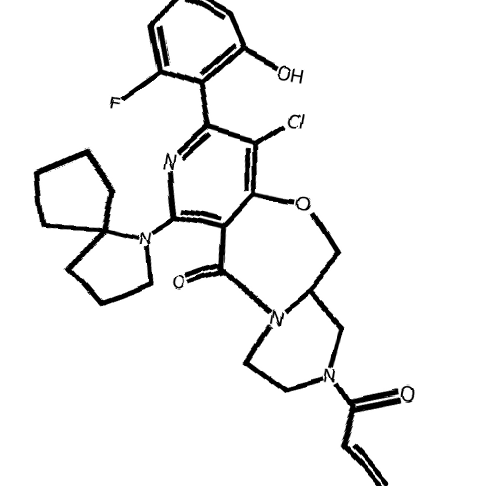 C=CC(=O)N1CCN2C(=O)c3c(N4CCCC45CCCC5)nc(-c4c(O)cccc4F)c(Cl)c3OCC2C1